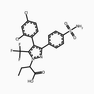 CCC(C(=O)O)n1nc(-c2ccc(S(N)(=O)=O)cc2)c(-c2ccc(Cl)cc2Cl)c1C(F)(F)F